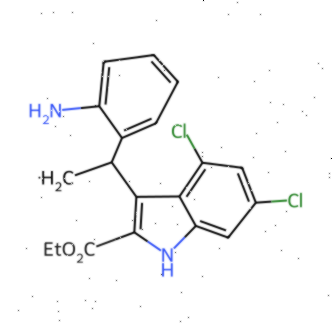 [CH2]C(c1ccccc1N)c1c(C(=O)OCC)[nH]c2cc(Cl)cc(Cl)c12